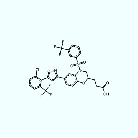 O=C(O)CCC1CN(S(=O)(=O)c2cccc(C(F)(F)F)c2)c2cc(-c3cc(-c4c(Cl)cccc4C(F)(F)F)on3)ccc2O1